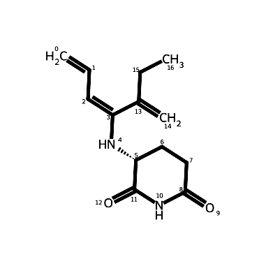 C=C/C=C(/N[C@@H]1CCC(=O)NC1=O)C(=C)CC